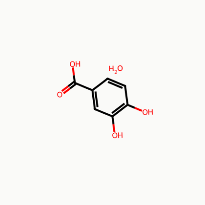 O.O=C(O)c1ccc(O)c(O)c1